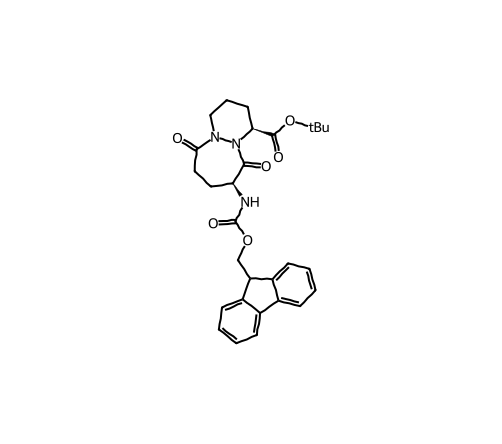 CC(C)(C)OC(=O)[C@@H]1CCCN2C(=O)CC[C@H](NC(=O)OCC3c4ccccc4-c4ccccc43)C(=O)N12